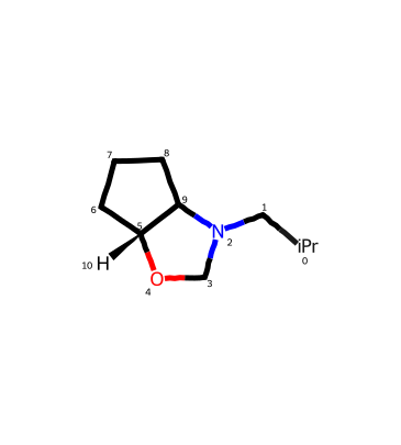 CC(C)CN1CO[C@@H]2CCCC21